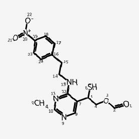 C.O=COCC(S)c1cncnc1NCCc1ccc([N+](=O)[O-])cc1